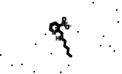 CCCCCNCc1ncccc1[N+](=O)[O-]